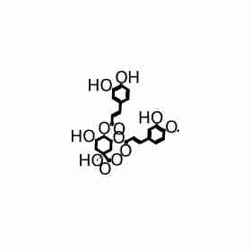 COC(=O)[C@@]1(O)C[C@@H](O)[C@H](OC(=O)/C=C/c2ccc(O)c(O)c2)[C@H](OC(=O)/C=C/c2ccc(OC)c(O)c2)C1